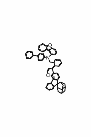 C/C=C\C(=C1\C=CC=CC1CN(c1ccc(-c2ccccc2)cc1)c1cccc2oc3ccccc3c12)c1ccc2c(c1)-c1ccccc1C21C2CC3CC(C2)CC1C3